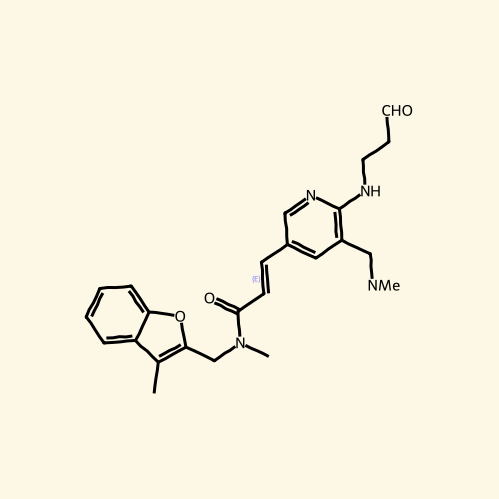 CNCc1cc(/C=C/C(=O)N(C)Cc2oc3ccccc3c2C)cnc1NCCC=O